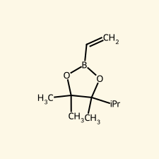 C=CB1OC(C)(C)C(C)(C(C)C)O1